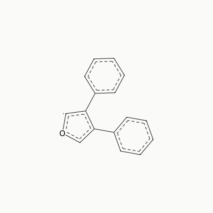 [c]1occ(-c2ccccc2)c1-c1ccccc1